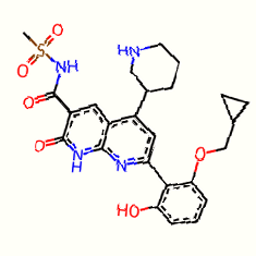 CS(=O)(=O)NC(=O)c1cc2c(C3CCCNC3)cc(-c3c(O)cccc3OCC3CC3)nc2[nH]c1=O